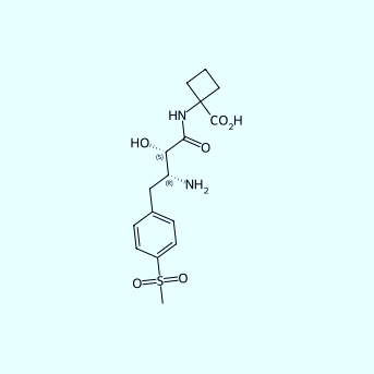 CS(=O)(=O)c1ccc(C[C@@H](N)[C@H](O)C(=O)NC2(C(=O)O)CCC2)cc1